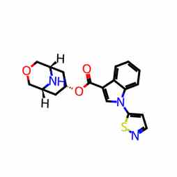 O=C(O[C@H]1C[C@H]2COC[C@@H](C1)N2)c1cn(-c2ccns2)c2ccccc12